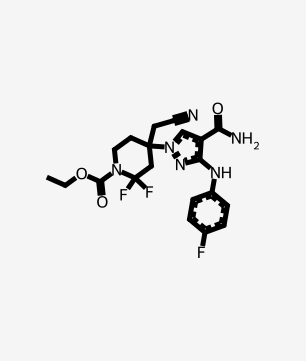 CCOC(=O)N1CCC(CC#N)(n2cc(C(N)=O)c(Nc3ccc(F)cc3)n2)CC1(F)F